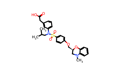 CC(C)CN(c1cccc(CC(=O)O)c1)S(=O)(=O)c1ccc(OC[C@@H]2CN(C)c3ccccc3O2)cc1